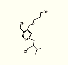 CC(C)C(CCl)Cc1ccc(CO)c(COCCCO)c1